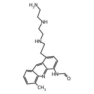 Cc1cccc2cc3c(CCNCCNCCN)ccc(NC=O)c3nc12